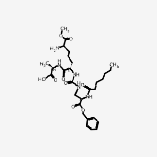 CCCCCCC(=O)NC(CNC(=O)N[C@@H](CCCC(N)C(=O)OC)C(=O)N[C@H](C)C(=O)O)C(=O)OCc1ccccc1